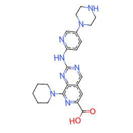 O=C(O)c1cc2cnc(Nc3ccc(N4CCNCC4)cn3)nc2c(N2CCCCC2)n1